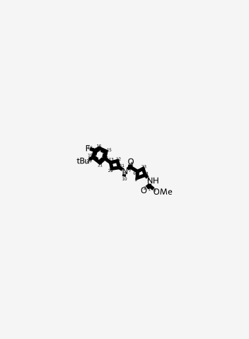 COC(=O)NC1CC(C(=O)N(C)C2CC(c3ccc(F)c(C(C)(C)C)c3)C2)C1